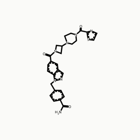 NC(=O)c1ccc(Cn2ncc3cc(C(=O)N4CC(N5CCN(C(=O)c6nccs6)CC5)C4)ccc32)cc1